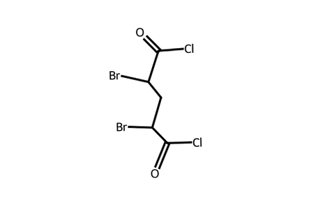 O=C(Cl)C(Br)CC(Br)C(=O)Cl